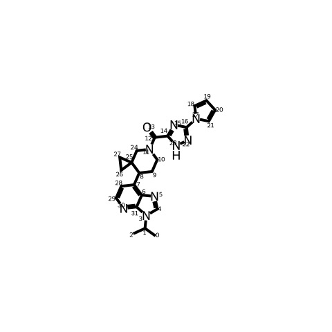 CC(C)n1cnc2c(C3CCN(C(=O)c4nc(-n5cccc5)n[nH]4)CC34CC4)ccnc21